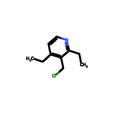 CCc1ccnc(CC)c1CCl